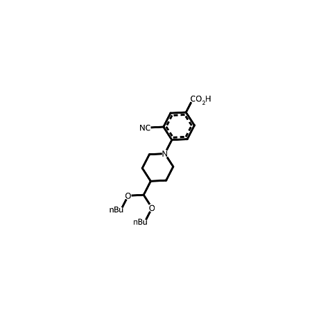 CCCCOC(OCCCC)C1CCN(c2ccc(C(=O)O)cc2C#N)CC1